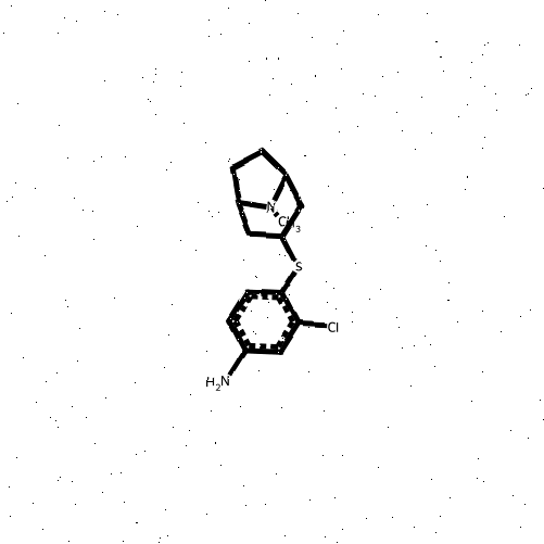 CN1C2CCC1CC(Sc1ccc(N)cc1Cl)C2